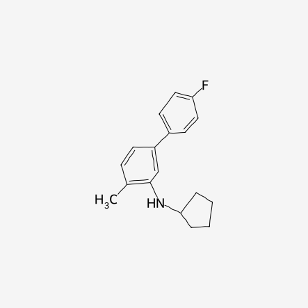 Cc1ccc(-c2ccc(F)cc2)cc1NC1CCCC1